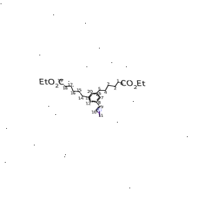 CCOC(=O)CCCCCc1cc(/C=C/I)cc(CCCCCC(=O)OCC)c1